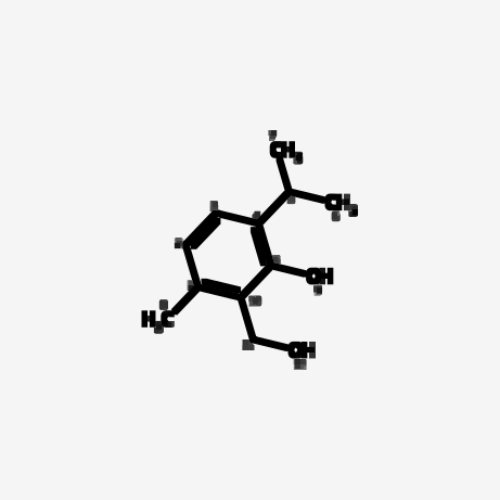 Cc1ccc(C(C)C)c(O)c1CO